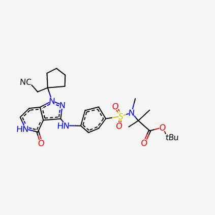 CN(C(C)(C)C(=O)OC(C)(C)C)S(=O)(=O)c1ccc(Nc2nn(C3(CC#N)CCCC3)c3cc[nH]c(=O)c23)cc1